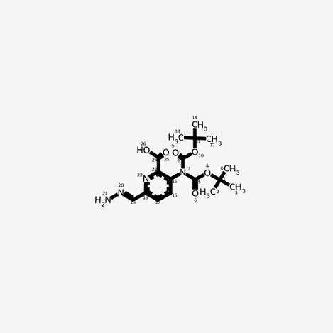 CC(C)(C)OC(=O)N(C(=O)OC(C)(C)C)c1ccc(/C=N/N)nc1C(=O)O